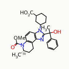 COC(=O)N1c2ccc3c(nc(C(C)(O)c4ccccc4)n3C3CCCC(C(=O)O)C3)c2CC[C@@H]1C